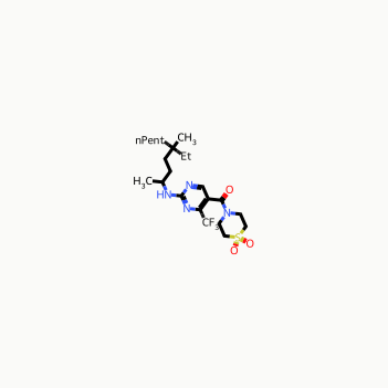 CCCCCC(C)(CC)CCC(C)Nc1ncc(C(=O)N2CCS(=O)(=O)CC2)c(C(F)(F)F)n1